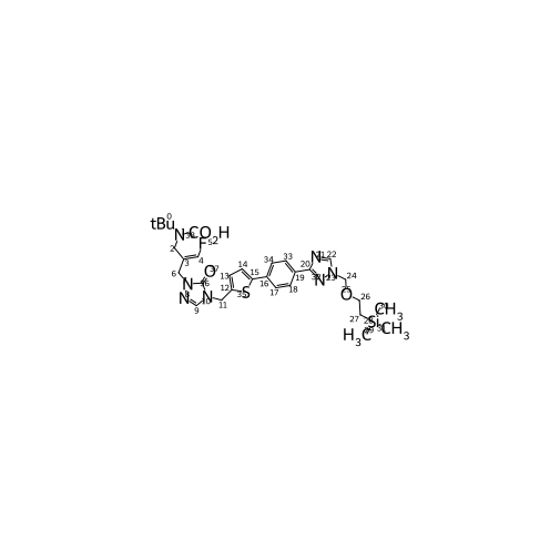 CC(C)(C)N(CC(=CF)Cn1ncn(Cc2ccc(-c3ccc(-c4ncn(COCC[Si](C)(C)C)n4)cc3)s2)c1=O)C(=O)O